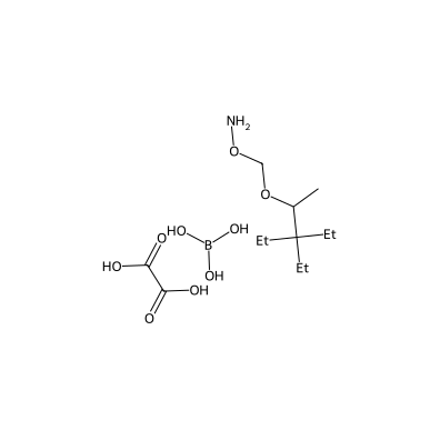 CCC(CC)(CC)C(C)OCON.O=C(O)C(=O)O.OB(O)O